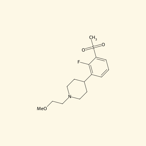 COCCN1CCC(c2cccc(S(C)(=O)=O)c2F)CC1